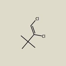 CC(C)(C)/C(Cl)=C/Cl